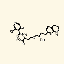 O=C(NC(CCOC[C@@H](O)CCc1ccc2c(n1)NCCC2)C(=O)O)c1c(F)cncc1Cl